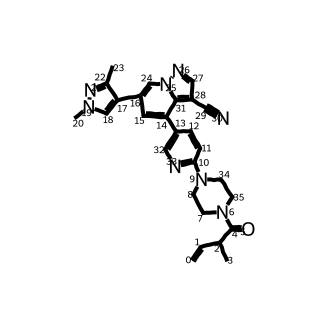 C=CC(C)C(=O)N1CCN(c2ccc(-c3cc(-c4cn(C)nc4C)cn4ncc(C#N)c34)cn2)CC1